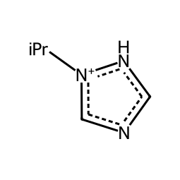 CC(C)[n+]1cnc[nH]1